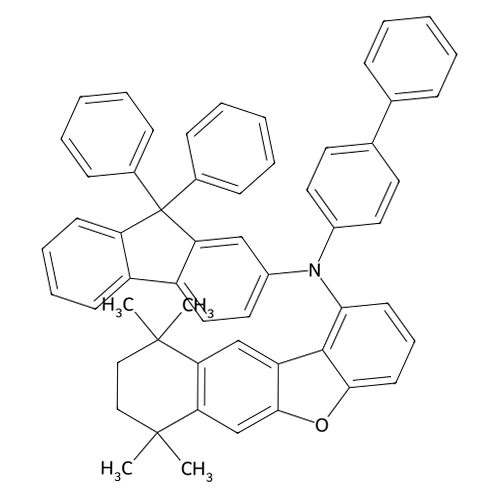 CC1(C)CCC(C)(C)c2cc3c(cc21)oc1cccc(N(c2ccc(-c4ccccc4)cc2)c2ccc4c(c2)C(c2ccccc2)(c2ccccc2)c2ccccc2-4)c13